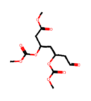 COC(=O)CC(CC(CC=O)OC(=O)OC)OC(=O)OC